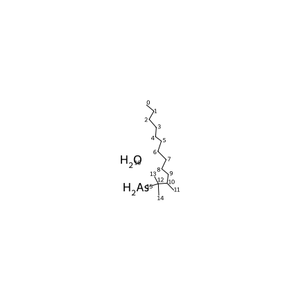 CCCCCCCCCCC(C)C(C)(C)[AsH2].O